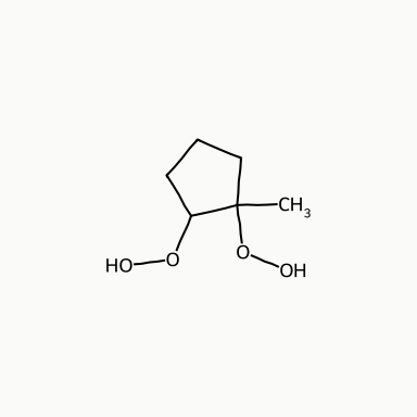 CC1(OO)CCCC1OO